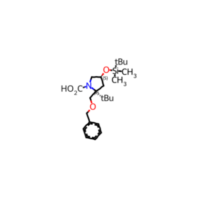 CC(C)(C)[C@@]1(COCc2ccccc2)C[C@H](O[Si](C)(C)C(C)(C)C)CN1C(=O)O